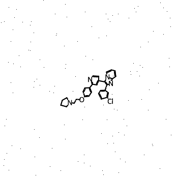 Clc1cccc(-c2nc3ccccn3c2-c2ccnc(-c3ccc(OCCN4CCCC4)cc3)c2)c1